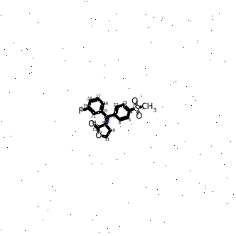 CS(=O)(=O)c1ccc(/C(=C2\CCOC2=O)c2cccc(F)c2)cc1